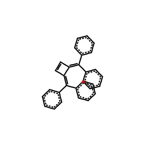 C1=CC(=C(c2ccccc2)c2ccccc2)C1=C(c1ccccc1)c1ccccc1